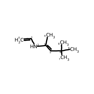 C=CN/C(C)=C/C(C)(C)C